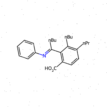 CCCCC(=Nc1ccccc1)c1c(C(=O)O)ccc(CCC)c1CCCC